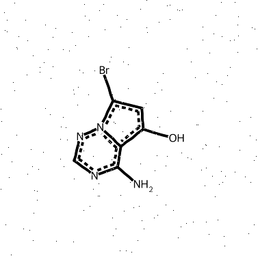 Nc1ncnn2c(Br)cc(O)c12